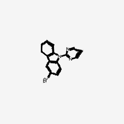 Brc1ccc2c(c1)c1c(n2-c2ncccn2)CCCC1